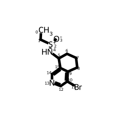 CC[S+]([O-])NC1CCCc2c(Br)cncc21